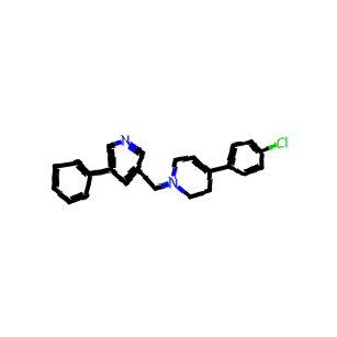 Clc1ccc(C2=CCN(Cc3cncc(-c4ccccc4)c3)CC2)cc1